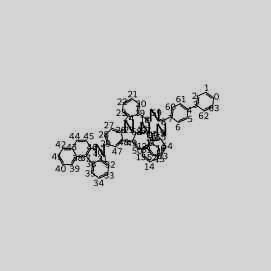 c1ccc(-c2ccc(-c3nc(-c4ccccc4)nc(-c4ccccc4-n4c5ccc(-n6c7ccccc7c7c8ccccc8ccc76)cc5c5cc6ccccc6cc54)n3)cc2)cc1